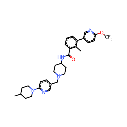 Cc1c(C(=O)NC2CCN(Cc3ccc(N4CCC(C)CC4)nc3)CC2)cccc1-c1ccc(OC(F)(F)F)nc1